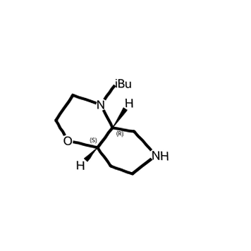 CCC(C)N1CCO[C@H]2CCNC[C@H]21